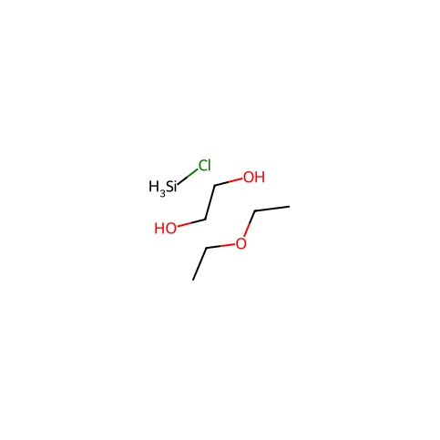 CCOCC.OCCO.[SiH3]Cl